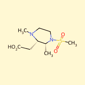 C[C@@H]1[C@H](CC(=O)O)N(C)CCN1S(C)(=O)=O